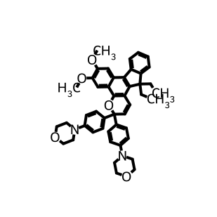 CCC1(CC)c2ccccc2-c2c1c1c(c3cc(OC)c(OC)cc23)OC(c2ccc(N3CCOCC3)cc2)(c2ccc(N3CCOCC3)cc2)C=C1